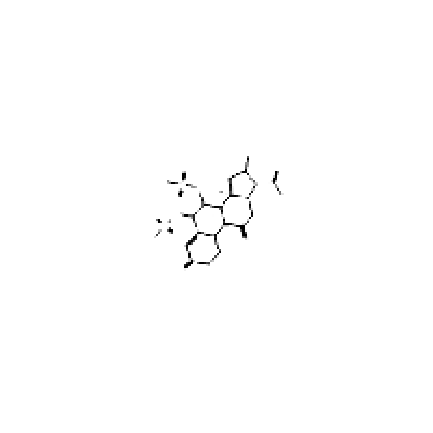 CC(=O)[C@H]1C(C)C[C@H]2[C@@H]3C(OS(C)(=O)=O)C(OS(C)(=O)=O)C4=CC(=O)CC[C@]4(C)[C@H]3C(=O)C[C@]12C